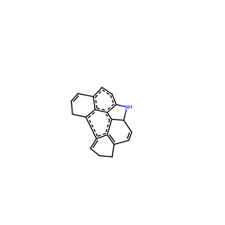 C1=Cc2ccc3c4c5c6c(c(c24)C1)=CCCC=6C=CC5N3